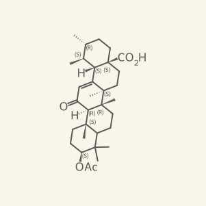 CC(=O)O[C@H]1CC[C@@]2(C)C(CC[C@]3(C)[C@@H]2C(=O)C=C2[C@@H]4[C@@H](C)[C@H](C)CC[C@]4(C(=O)O)CC[C@]23C)C1(C)C